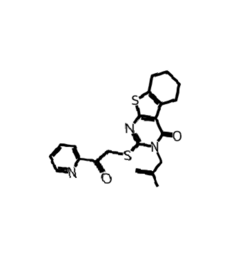 C=C(C)Cn1c(SCC(=O)c2ccccn2)nc2sc3c(c2c1=O)CCCC3